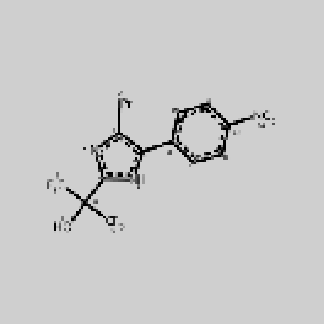 CC(C)c1nc(C(O)(C(F)(F)F)C(F)(F)F)[nH]c1-c1ccc([N+](=O)[O-])cc1